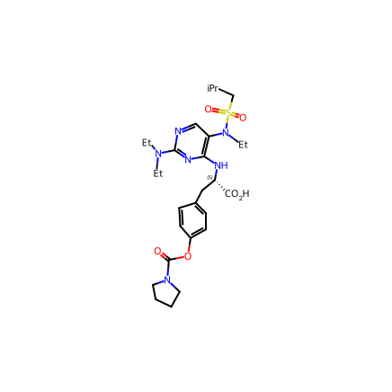 CCN(CC)c1ncc(N(CC)S(=O)(=O)CC(C)C)c(N[C@@H](Cc2ccc(OC(=O)N3CCCC3)cc2)C(=O)O)n1